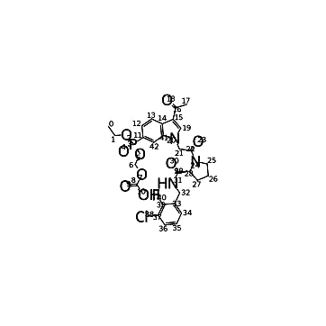 CCOP(=O)(OCOC(=O)O)c1ccc2c(C(C)=O)cn(CC(=O)N3CCC[C@H]3C(=O)NCc3cccc(Cl)c3F)c2c1